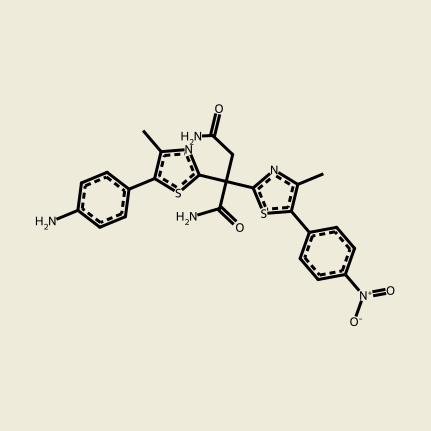 Cc1nc(C(CC(N)=O)(C(N)=O)c2nc(C)c(-c3ccc([N+](=O)[O-])cc3)s2)sc1-c1ccc(N)cc1